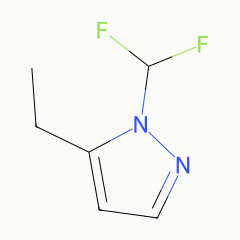 CCc1ccnn1C(F)F